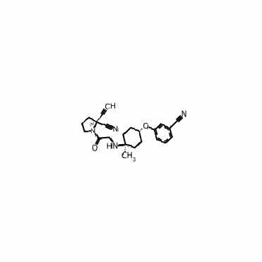 C#C[C@]1(C#N)CCCN1C(=O)CN[C@]1(C)CC[C@@H](Oc2cccc(C#N)c2)CC1